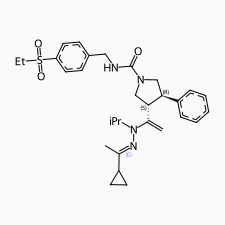 C=C([C@@H]1CN(C(=O)NCc2ccc(S(=O)(=O)CC)cc2)C[C@H]1c1ccccc1)N(/N=C(\C)C1CC1)C(C)C